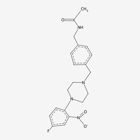 CC(=O)NCc1ccc(CN2CCN(c3ccc(F)cc3[N+](=O)[O-])CC2)cc1